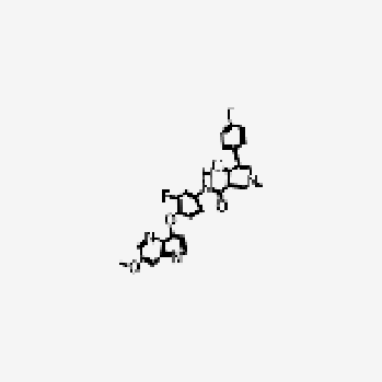 COc1cnc2c(Oc3ccc(NC(=O)c4cn(C)cc(-c5ccc(F)cc5)c4=O)cc3F)ccnc2c1